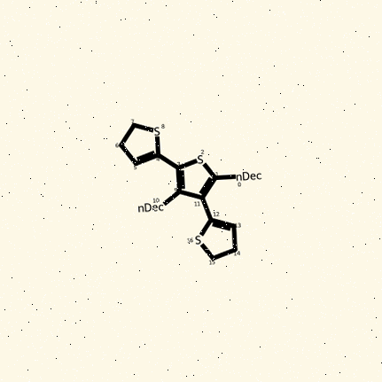 CCCCCCCCCCc1sc(C2=CCCS2)c(CCCCCCCCCC)c1C1=CCCS1